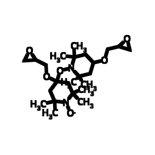 CC1(C)CC(OCC2CO2)(ON2C(C)(C)CC(OCC3CO3)CC2(C)C)CC(C)(C)N1[O]